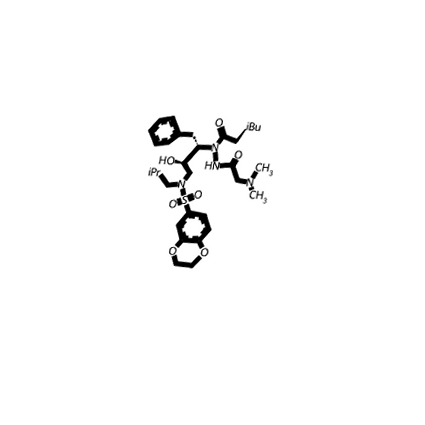 CC[C@H](C)CC(=O)N(NC(=O)CN(C)C)[C@@H](Cc1ccccc1)[C@H](O)CN(CC(C)C)S(=O)(=O)c1ccc2c(c1)OCCO2